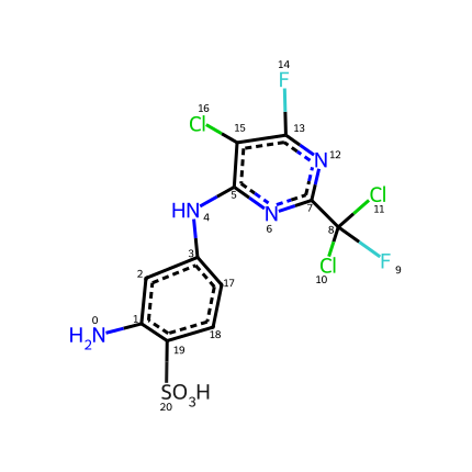 Nc1cc(Nc2nc(C(F)(Cl)Cl)nc(F)c2Cl)ccc1S(=O)(=O)O